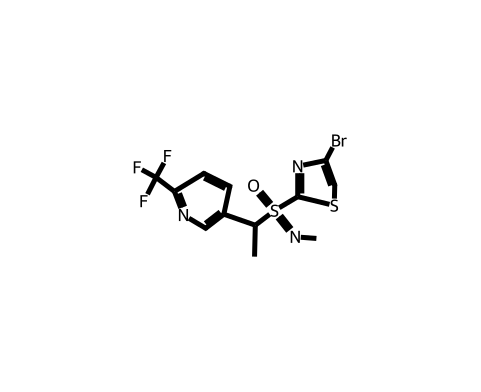 CN=S(=O)(c1nc(Br)cs1)C(C)c1ccc(C(F)(F)F)nc1